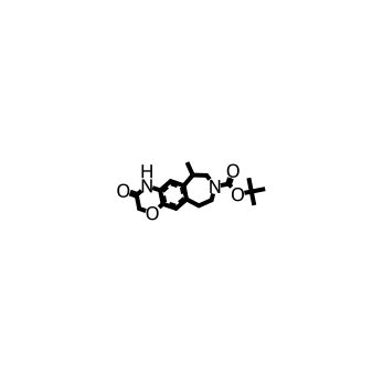 CC1CN(C(=O)OC(C)(C)C)CCc2cc3c(cc21)NC(=O)CO3